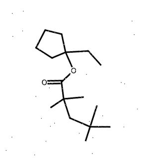 CCC1(OC(=O)C(C)(C)CC(C)(C)C)CCCC1